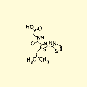 CC(C)Cc1sc(C2NC=CS2)nc1C(=O)NCC(=O)O